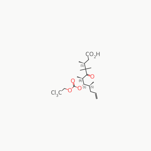 C=CC[C@H](C)[C@H](OC(=O)OCC(Cl)(Cl)Cl)[C@@H](C)C(=O)C(C)(C)[C@@H](C)CC(=O)O